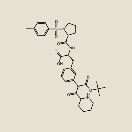 Cc1ccc(S(=O)(=O)N2CCC[C@H]2C(=O)N[C@@H](Cc2cccc(N(C(=O)OC(C)(C)C)C(=O)C3CCCCN3)c2)C(=O)O)cc1